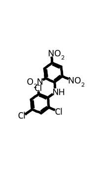 O=[N+]([O-])c1cc([N+](=O)[O-])c(Nc2c(Cl)cc(Cl)cc2Cl)c([N+](=O)[O-])c1